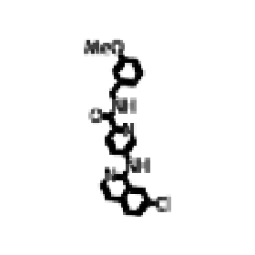 COc1cccc(CNC(=O)c2ccc(Nc3nccc4ccc(Cl)cc34)cn2)c1